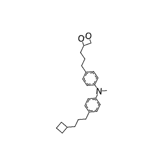 CN(c1ccc(CCCC2CCC2)cc1)c1ccc(CCCC2COO2)cc1